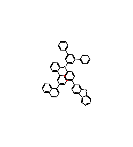 c1ccc(-c2cc(-c3ccccc3)cc(N(c3ccc(-c4ccc5c(c4)sc4ccccc45)cc3)c3ccccc3-c3cccc(-c4cccc5ccccc45)c3)c2)cc1